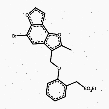 CCOC(=O)Cc1ccccc1OCc1c(C)oc2c1cc(Br)c1occc12